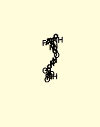 C[C@@H]1Cc2c([nH]c3ccccc23)[C@@H](c2cnc(N3CCC(OCCN4CCN(c5ccc6c(c5)CN(C5CCC(=O)NC5=O)C6=O)CC4)CC3)nc2)N1CC(C)(C)F